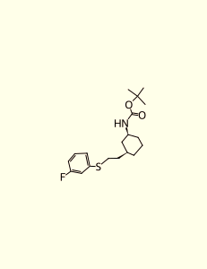 CC(C)(C)OC(=O)N[C@H]1CCC[C@@H](CCSc2cccc(F)c2)C1